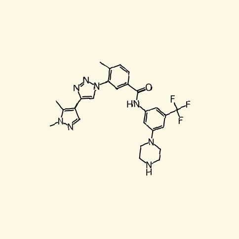 Cc1ccc(C(=O)Nc2cc(N3CCNCC3)cc(C(F)(F)F)c2)cc1-n1cc(-c2cnn(C)c2C)nn1